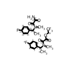 C[C@H](c1ccc(F)cc1)N(C)C(=O)C(=O)OCC(F)(F)F.C[C@H](c1ccc(F)cc1)N(C)C(=O)C(N)=O